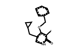 O=c1[nH]cc(CC2CC2)c(OCc2ccccc2)c1I